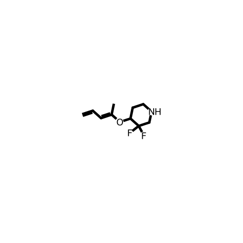 C=C/C=C(\C)OC1CCNCC1(F)F